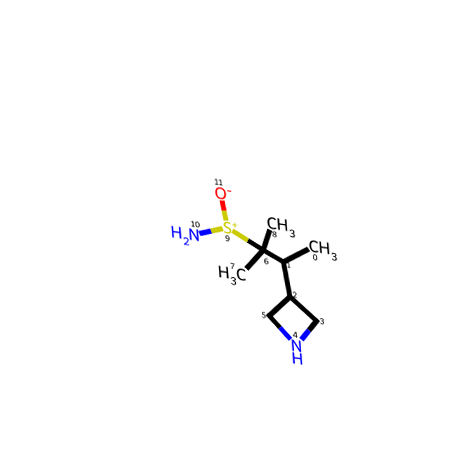 CC(C1CNC1)C(C)(C)[S+](N)[O-]